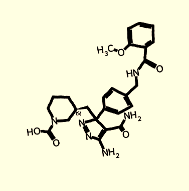 COc1ccccc1C(=O)NCc1ccc(C2(C[C@@H]3CCCN(C(=O)O)C3)N=NC(N)=C2C(N)=O)cc1